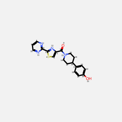 O=C(c1csc(-c2ncccn2)n1)N1CCC(c2ccc(O)cc2)CC1